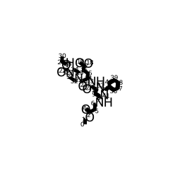 CCOC(=O)CCNc1cc(C(=O)NC(CCC(=O)O)C(=O)N2CCN(C(=O)OCC)CC2)nc(-c2ccccc2)n1